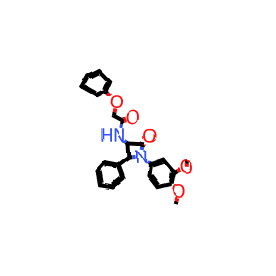 COc1ccc(N2C(=O)C(NC(=O)COc3ccccc3)C2c2ccccc2)cc1OC